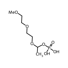 COCCOCCOC(C)OP(=O)(O)O